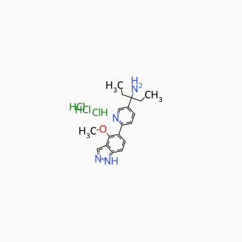 CCC(N)(CC)c1ccc(-c2ccc3[nH]ncc3c2OC)nc1.Cl.Cl.Cl